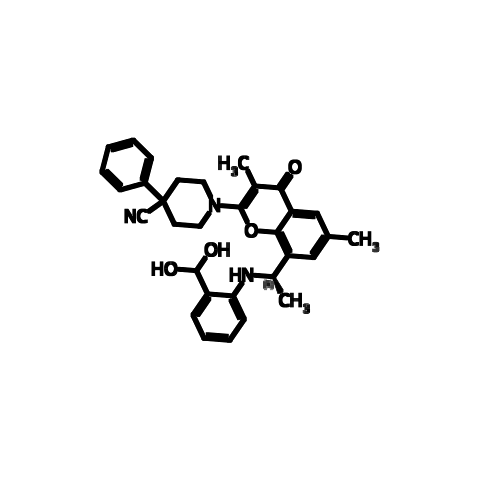 Cc1cc([C@@H](C)Nc2ccccc2C(O)O)c2oc(N3CCC(C#N)(c4ccccc4)CC3)c(C)c(=O)c2c1